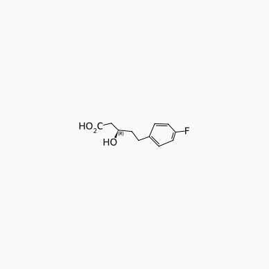 O=C(O)C[C@H](O)CCc1ccc(F)cc1